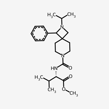 COC(=O)[C@@H](NC(=O)N1CCC2(CC1)CN(C(C)C)C2c1ccccc1)C(C)C